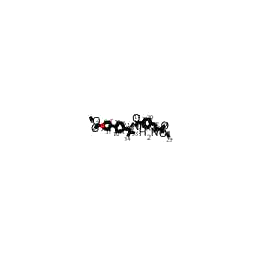 CCOC(=O)c1ccc(-c2ccc([C@H](CNC(=O)c3ccc(C[C@H](N)C(=O)OCC)cc3)C(C)C)cc2)cc1